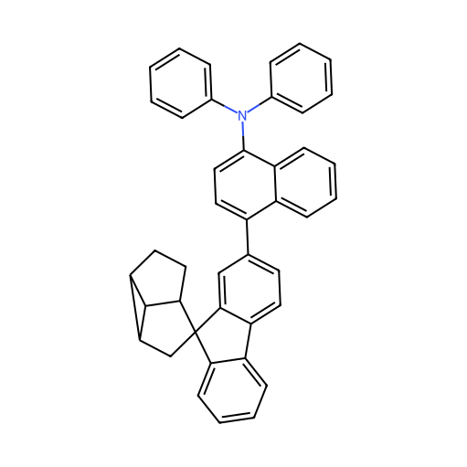 c1ccc(N(c2ccccc2)c2ccc(-c3ccc4c(c3)C3(CC5C6CCC3C65)c3ccccc3-4)c3ccccc23)cc1